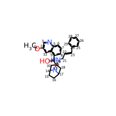 COc1cnc2cccc(C(O)CN3C4CCC3CC(NCC=Cc3ccccc3)C4)c2c1